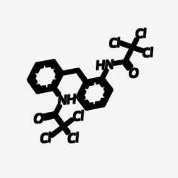 O=C(Nc1ccccc1Cc1ccccc1NC(=O)C(Cl)(Cl)Cl)C(Cl)(Cl)Cl